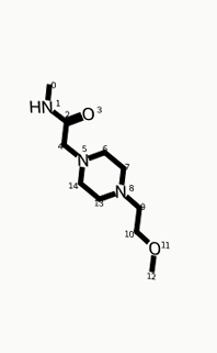 CNC(=O)CN1CCN(CCOC)CC1